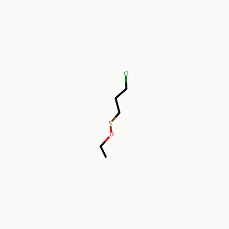 CCOSCCCCl